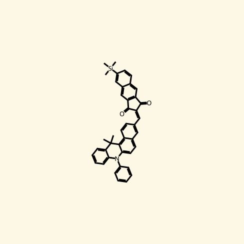 CC1(C)c2ccccc2N(c2ccccc2)c2ccc3cc(/C=C4/C(=O)c5cc6ccc([Si](C)(C)C)cc6cc5C4=O)ccc3c21